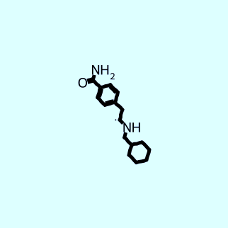 NC(=O)c1ccc(C[CH]NCC2CCCCC2)cc1